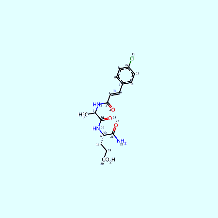 CC(NC(=O)/C=C/c1ccc(Cl)cc1)C(=O)N[C@@H](CCC(=O)O)C(N)=O